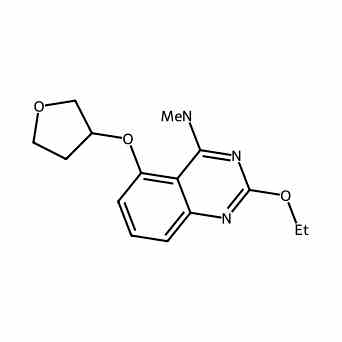 CCOc1nc(NC)c2c(OC3CCOC3)cccc2n1